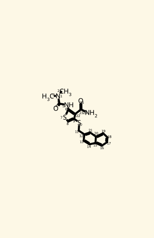 CN(C)C(=O)Nc1scc(SCc2ccc3ccccc3c2)c1C(N)=O